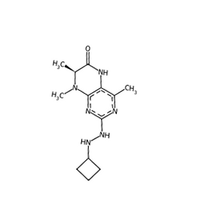 Cc1nc(NNC2CCC2)nc2c1NC(=O)[C@H](C)N2C